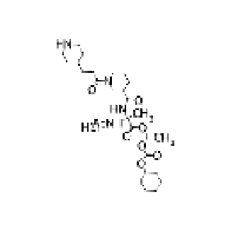 CC(=O)N[C@@](C)(NC(=O)[C@@H]1CCCN(C(=O)CCC2CCNCC2)C1)C(=O)OC(C)OC(=O)OC1CCCCC1.Cl